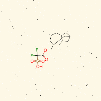 O=C(OCC12CCCC3CC(CC3C1)C2)C(F)(F)S(=O)(=O)O